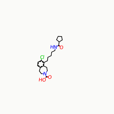 O=C(NCCCCCc1c(Cl)ccc2c1CCN(C(=O)O)CC2)C1CCCC1